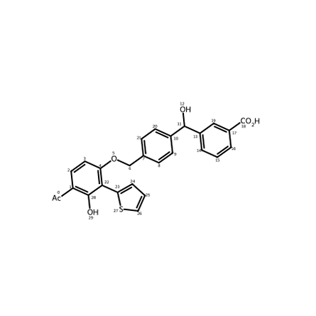 CC(=O)c1ccc(OCc2ccc(C(O)c3cccc(C(=O)O)c3)cc2)c(-c2cccs2)c1O